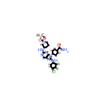 COC(=O)N1CCC[C@@H](Nc2ncc3nc(Nc4ccc(Cl)c(F)c4F)n(C4CCC(C(N)=O)CC4)c3n2)C1